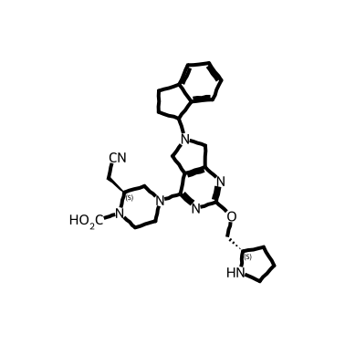 N#CC[C@H]1CN(c2nc(OC[C@@H]3CCCN3)nc3c2CN(C2CCc4ccccc42)C3)CCN1C(=O)O